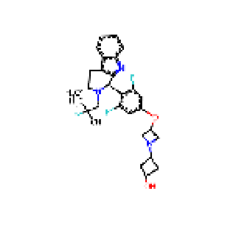 C[C@@H]1Cc2c([nH]c3ccccc23)[C@@H](c2c(F)cc(OC3CN(C4CC(O)C4)C3)cc2F)N1CC(C)(C)F